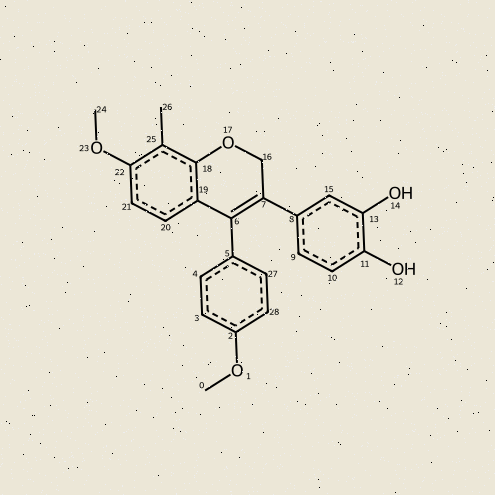 COc1ccc(C2=C(c3ccc(O)c(O)c3)COc3c2ccc(OC)c3C)cc1